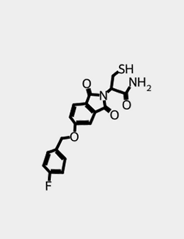 NC(=O)C(CS)N1C(=O)c2ccc(OCc3ccc(F)cc3)cc2C1=O